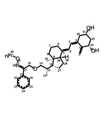 C=C1/C(=C\C=C2/CCC[C@]3(C)[C@@H]([C@H](C)COC/C(=N\OCCC)c4ccccc4)CC[C@@H]23)C[C@@H](O)C[C@@H]1O